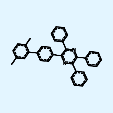 Cc1ccc(C)c(-c2ccc(-c3nc(-c4ccccc4)c(-c4ccccc4)nc3-c3ccccc3)cc2)c1